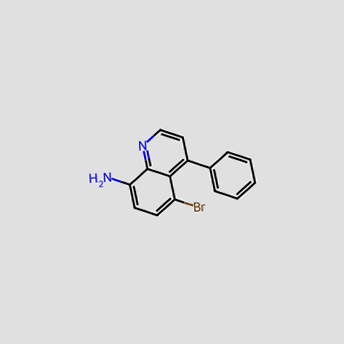 Nc1ccc(Br)c2c(-c3ccccc3)ccnc12